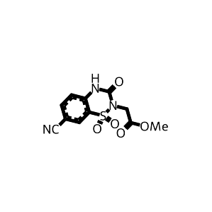 COC(=O)CN1C(=O)Nc2ccc(C#N)cc2S1(=O)=O